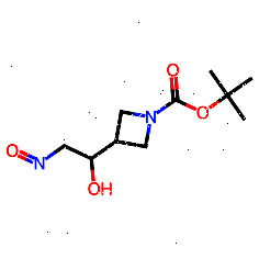 CC(C)(C)OC(=O)N1CC(C(O)CN=O)C1